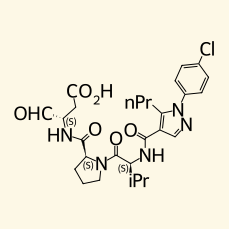 CCCc1c(C(=O)N[C@H](C(=O)N2CCC[C@H]2C(=O)N[C@H](C=O)CC(=O)O)C(C)C)cnn1-c1ccc(Cl)cc1